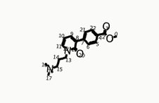 COC(=O)c1ccc(-c2cccn(CCCN(C)C)c2=O)cc1